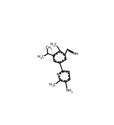 Cc1nc(-c2cc(C=N)c(C)c(C(C)C)c2)ccc1N